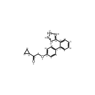 O=C(COc1ccc(-c2ccccc2-c2nn[nH]n2)cc1)C1CC1